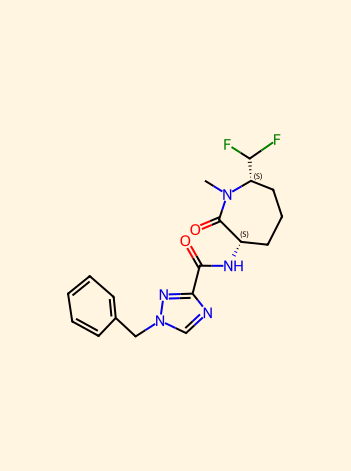 CN1C(=O)[C@@H](NC(=O)c2ncn(Cc3ccccc3)n2)CCC[C@H]1C(F)F